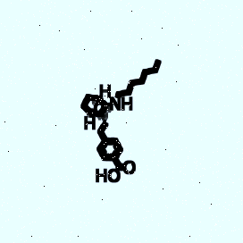 CCCCCCCN[C@H]1[C@H](CCc2ccc(C(=O)O)cc2)[C@@H]2CC[C@H]1O2